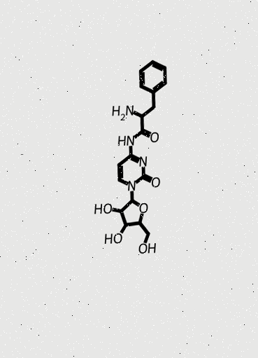 NC(Cc1ccccc1)C(=O)Nc1ccn(C2OC(CO)C(O)C2O)c(=O)n1